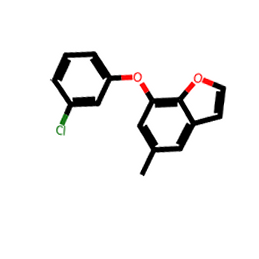 Cc1cc(Oc2cc[c]c(Cl)c2)c2occc2c1